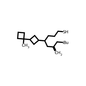 C=C(CC(C)CC)CC(CCCS)C1CC(C2(C)CCC2)C1